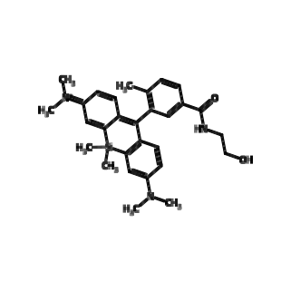 Cc1ccc(C(=O)NCCO)cc1C1=C2C=CC(=[N+](C)C)C=C2[Si](C)(C)c2cc(N(C)C)ccc21